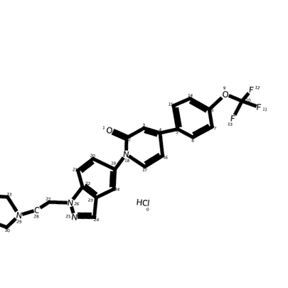 Cl.O=c1cc(-c2ccc(OC(F)(F)F)cc2)ccn1-c1ccc2c(cnn2CCN2CCCC2)c1